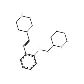 C(=C\C1CCNCC1)/c1ccccc1OCC1CCCCC1